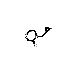 O=C1CSCCN1CC1CC1